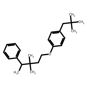 CC(c1ccccc1)C(C)(C)CCOc1ccc(CC(C)(C)C)cc1